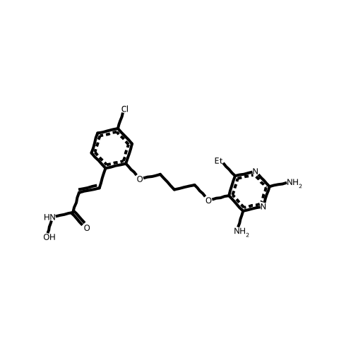 CCc1nc(N)nc(N)c1OCCCOc1cc(Cl)ccc1/C=C/C(=O)NO